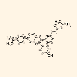 CC(C)OC(=O)/C=C/c1cccc(N(CC2CCN(c3ccc(N(C)C)cc3)CC2)C(=O)C2CCC(O)CC2)n1